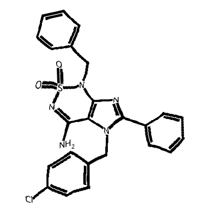 NC1=NS(=O)(=O)N(Cc2ccccc2)c2nc(-c3ccccc3)n(Cc3ccc(Cl)cc3)c21